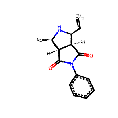 C=C[C@@H]1N[C@H](C(C)=O)[C@@H]2C(=O)N(c3ccccc3)C(=O)[C@@H]21